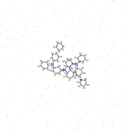 c1ccc(-c2ccc(N(c3ccccc3)c3cccc(-n4c5ccccc5c5c(N(c6ccccc6)c6ccc(-c7ccccc7)cc6)cccc54)c3)cc2)cc1